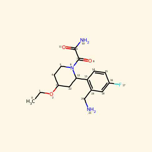 CCOC1CCN(C(=O)C(N)=O)C(c2ccc(F)cc2CN)C1